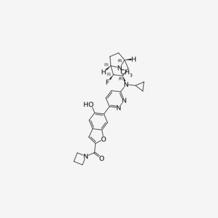 CN1[C@@H]2CC[C@H]1[C@H](F)[C@H](N(c1ccc(-c3cc4oc(C(=O)N5CCC5)cc4cc3O)nn1)C1CC1)C2